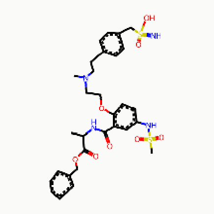 CC(NC(=O)c1cc(NS(C)(=O)=O)ccc1OCCN(C)CCc1ccc(CS(=N)(=O)O)cc1)C(=O)OCc1ccccc1